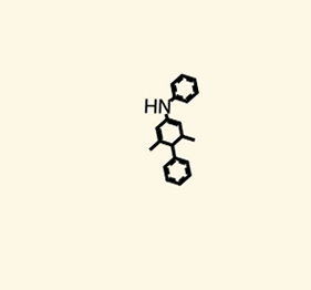 CC1=CC(Nc2ccccc2)=CC(C)C1c1ccccc1